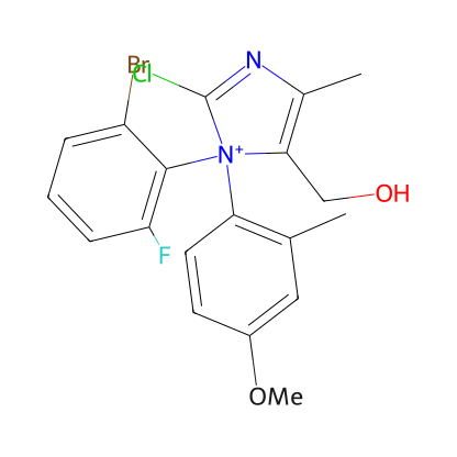 COc1ccc([N+]2(c3c(F)cccc3Br)C(Cl)=NC(C)=C2CO)c(C)c1